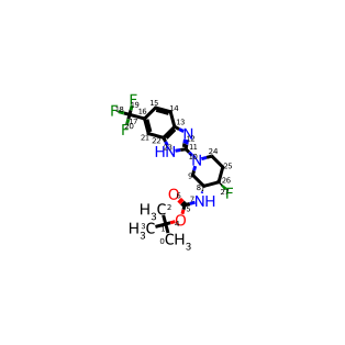 CC(C)(C)OC(=O)N[C@@H]1CN(c2nc3ccc(C(F)(F)F)cc3[nH]2)CC[C@H]1F